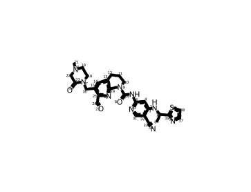 CC(Nc1cc(NC(=O)N2CCCc3cc(CN4CCN(C)CC4=O)c(C=O)nc32)ncc1C#N)c1nccs1